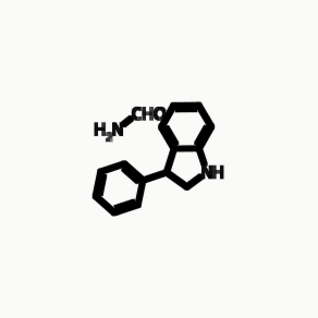 NC=O.c1ccc(C2CNc3ccccc32)cc1